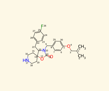 CC(C)COc1ccc(CN2C(=O)OC3(CCNCC3)C2Cc2ccc(F)cc2)cc1